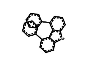 [c]1ccc(-c2ccccc2)c2c1[nH]c1cccc(-c3ccccc3)c12